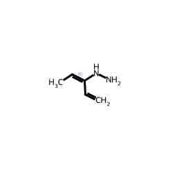 C=C/C(=C\C)NN